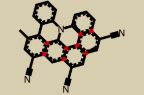 Cc1cc(C#N)ccc1-c1ccccc1N(c1ccccc1-c1ccc(C#N)cc1C)c1ccccc1-c1ccc(C#N)cc1C